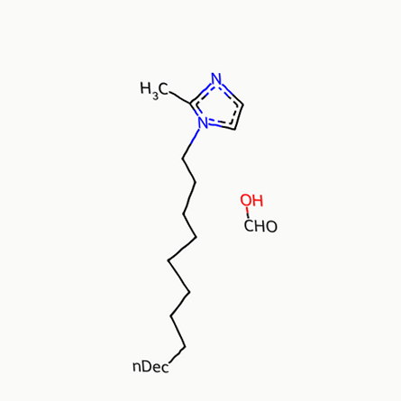 CCCCCCCCCCCCCCCCCCn1ccnc1C.O=CO